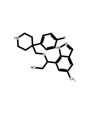 Cc1cc(C(CC#N)OCC2(c3ccc(F)cc3)CCNCC2)c2[nH]ncc2c1